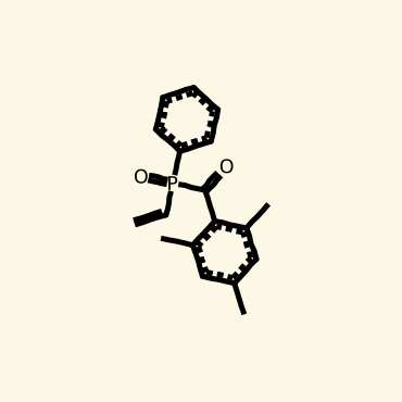 C=CP(=O)(C(=O)c1c(C)cc(C)cc1C)c1ccccc1